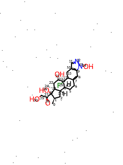 C[C@@H]1C[C@H]2[C@@H]3CCC4=Cc5c(cnn5O)C[C@]4(C)[C@@]3(F)[C@@H](O)C[C@]2(C)[C@@]1(O)C(=O)CO